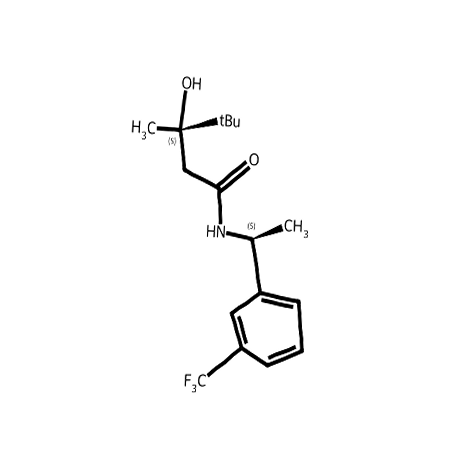 C[C@H](NC(=O)C[C@](C)(O)C(C)(C)C)c1cccc(C(F)(F)F)c1